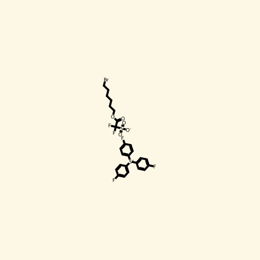 Fc1ccc([S+](c2ccc(F)cc2)c2ccc(F)cc2)cc1.O=C(OCCCCCCBr)C(F)(F)S(=O)(=O)[O-]